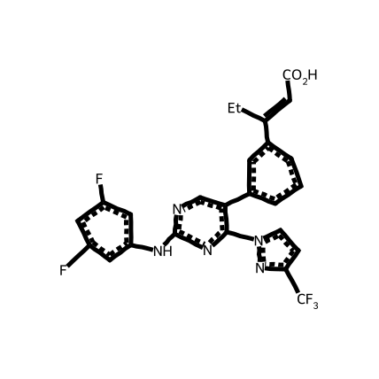 CC/C(=C\C(=O)O)c1cccc(-c2cnc(Nc3cc(F)cc(F)c3)nc2-n2ccc(C(F)(F)F)n2)c1